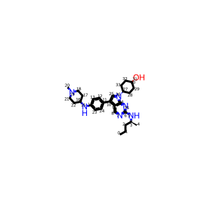 CCC[C@H](C)Nc1ncc2c(-c3ccc(NC4CCN(C)CC4)cc3)cn([C@H]3CC[C@H](O)CC3)c2n1